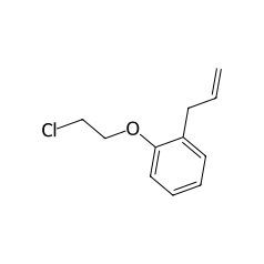 C=CCc1ccccc1OCCCl